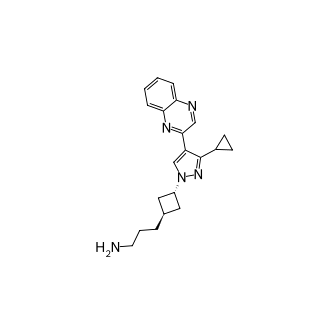 NCCC[C@H]1C[C@H](n2cc(-c3cnc4ccccc4n3)c(C3CC3)n2)C1